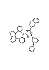 c1ccc(-c2cccc(-c3nc(-c4ccc5ccccc5c4)nc(N4c5ccccc5-c5cccc6cccc(c56)-c5ccccc54)n3)c2)cc1